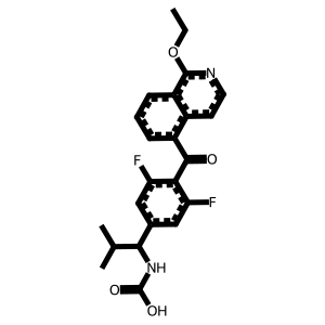 CCOc1nccc2c(C(=O)c3c(F)cc(C(NC(=O)O)C(C)C)cc3F)cccc12